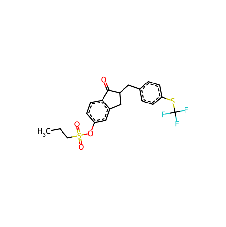 CCCS(=O)(=O)Oc1ccc2c(c1)CC(Cc1ccc(SC(F)(F)F)cc1)C2=O